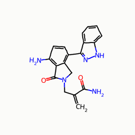 C=C(CN1Cc2c(-c3n[nH]c4ccccc34)ccc(N)c2C1=O)C(N)=O